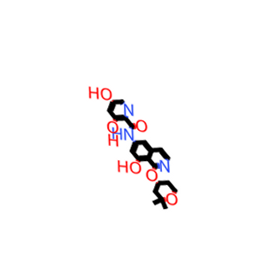 CC1(C)CC(Oc2nccc3cc(NC(=O)c4ncc(O)cc4O)cc(O)c23)CCO1